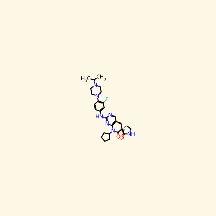 CC(C)N1CCN(c2ccc(Nc3ncc4c(n3)N(C3CCCC3)C(=O)[C@@]3(CCNC3=O)C4)cc2F)CC1